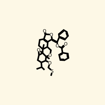 CSCOC1C(C(C)C)CC2OC23C2(C)CCC4=C(/C(=C(\OC(=O)c5ccccc5)c5ccccc5)OC4=O)C2COC13C